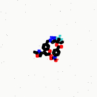 CC[C@](OC(=O)c1ccc([N+](=O)[O-])cc1)(c1cn(Cc2ccc3c(-c4coc(C)n4)cc(=O)oc3c2)nn1)C(F)(F)F